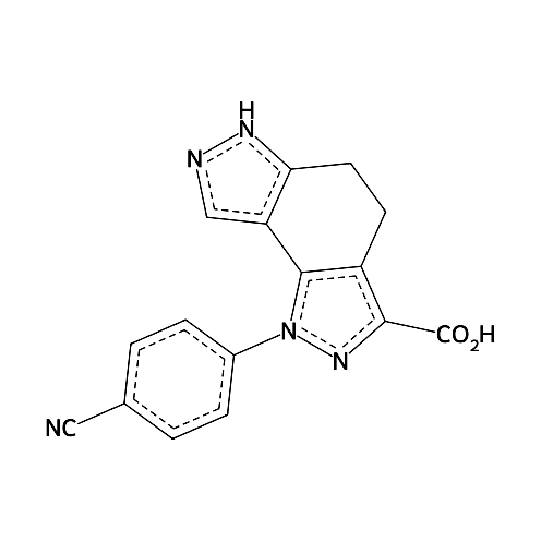 N#Cc1ccc(-n2nc(C(=O)O)c3c2-c2cn[nH]c2CC3)cc1